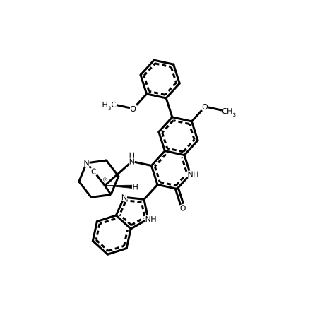 COc1ccccc1-c1cc2c(N[C@H]3CN4CCC3CC4)c(-c3nc4ccccc4[nH]3)c(=O)[nH]c2cc1OC